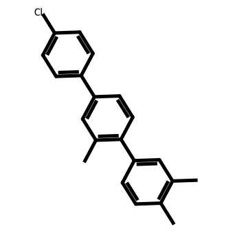 Cc1ccc(-c2ccc(-c3ccc(Cl)cc3)cc2C)cc1C